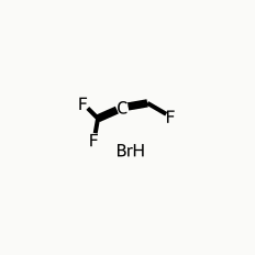 Br.FC=C=C(F)F